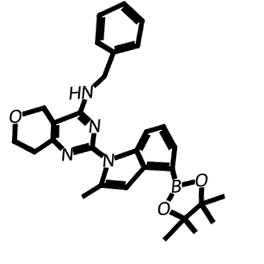 Cc1cc2c(B3OC(C)(C)C(C)(C)O3)cccc2n1-c1nc2c(c(NCc3ccccc3)n1)COCC2